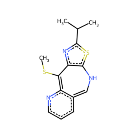 CSC1=c2ncccc2=CNc2sc(C(C)C)nc21